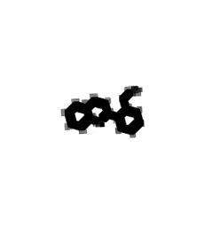 CC(C)Cc1ccccc1-c1ccc2ccccc2n1